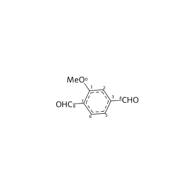 COc1cc(C=O)ccc1C=O